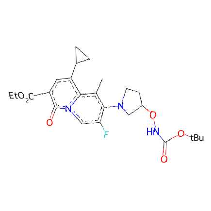 CCOC(=O)c1cc(C2CC2)c2c(C)c(N3CCC(ONC(=O)OC(C)(C)C)C3)c(F)cn2c1=O